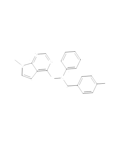 Cn1ccc2c(ON(Cc3ccc(C(F)(F)F)cc3)c3ccccc3)ncnc21